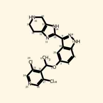 CC(Oc1ccc2[nH]nc(-c3nc4c([nH]3)CNCC4)c2c1)c1c(Cl)cncc1Cl